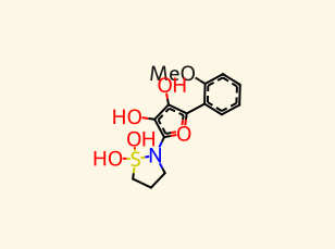 COc1ccccc1-c1oc(N2CCCS2(O)O)c(O)c1O